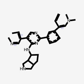 C=C/C(=C\N(C)C)c1cccc(-c2ncc(C(/C=N\C)=C/C)c(NC3CCC4CNCC43)n2)c1